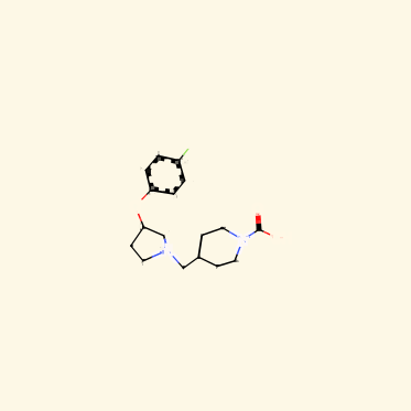 O=C(O)N1CCC(CN2CCC(Oc3ccc(F)cc3)C2)CC1